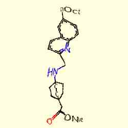 CCCCCCCCc1ccc2nc(CNC34CCC(C(=O)OC)(CC3)CC4)ccc2c1